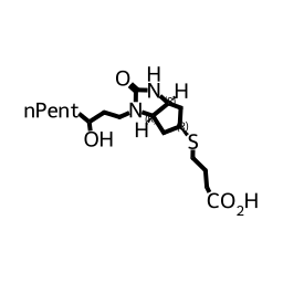 CCCCCC(O)CCN1C(=O)N[C@H]2C[C@@H](SCCCC(=O)O)C[C@H]21